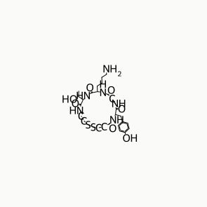 CC(O)C1NC(=O)C(CCCCN)NC(=O)CNC(=O)C(Cc2ccc(O)cc2)NC(=O)CCSSCCNC1=O